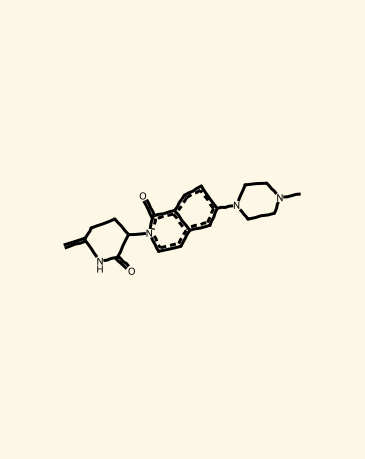 C=C1CCC(n2ccc3cc(N4CCN(C)CC4)ccc3c2=O)C(=O)N1